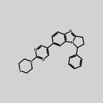 c1ccc(C2CCc3nc4ccc(-c5cnc(N6CCSCC6)nc5)cc4n32)cc1